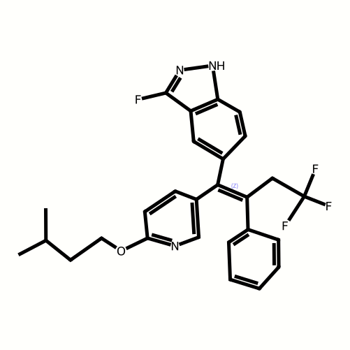 CC(C)CCOc1ccc(/C(=C(/CC(F)(F)F)c2ccccc2)c2ccc3[nH]nc(F)c3c2)cn1